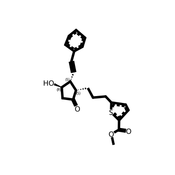 COC(=O)c1ccc(CCC[C@@H]2C(=O)C[C@@H](O)[C@@H]2C#Cc2ccccc2)s1